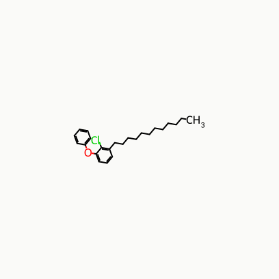 CCCCCCCCCCCCc1cccc(Oc2ccccc2)c1Cl